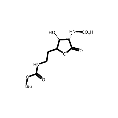 CC(C)(C)OC(=O)NCCC1OC(=O)[C@@H](NC(=O)O)[C@H]1O